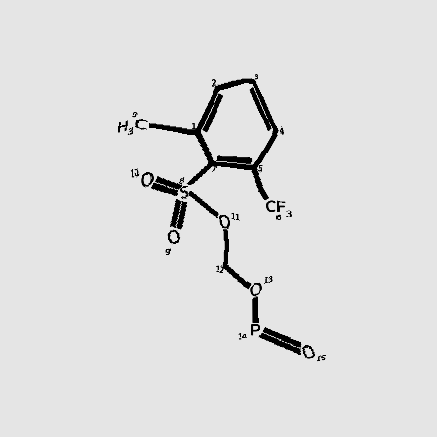 Cc1cccc(C(F)(F)F)c1S(=O)(=O)OCOP=O